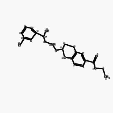 CCOC(=O)c1ccc2c(c1)CCC(CNCC(O)c1cccc(Cl)c1)O2